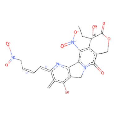 C=c1c(Br)c2c(n/c1=C/C=C\C[N+](=O)[O-])-c1c([N+](=O)[O-])c3c(c(=O)n1C2)COC(=O)[C@]3(O)CC